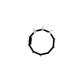 C1=C\OSSCCCCC/1